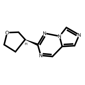 c1ncn2nc([C@H]3CCOC3)ncc12